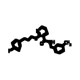 O=C(NCc1cccc(C(F)(F)F)c1)c1cccnc1SCCCc1ccc(F)cc1